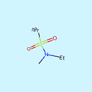 CCCS(=O)(=O)N(C)CC